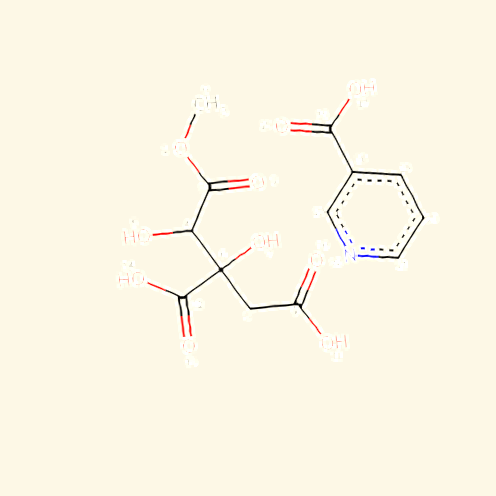 COC(=O)C(O)C(O)(CC(=O)O)C(=O)O.O=C(O)c1cccnc1